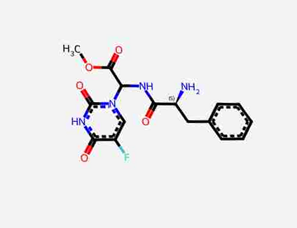 COC(=O)C(NC(=O)[C@@H](N)Cc1ccccc1)n1cc(F)c(=O)[nH]c1=O